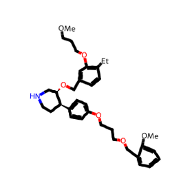 CCc1ccc(CO[C@H]2CNCC[C@@H]2c2ccc(OCCCOCc3ccccc3OC)cc2)cc1OCCCOC